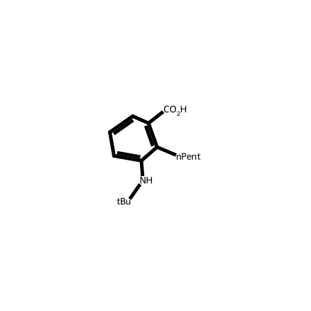 CCCCCc1c(NC(C)(C)C)cccc1C(=O)O